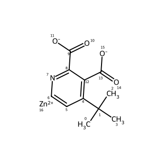 CC(C)(C)c1ccnc(C(=O)[O-])c1C(=O)[O-].[Zn+2]